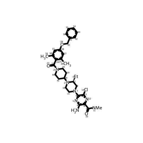 CC[C@H]1CN(c2nc(N)c(C(=O)NC)nc2Cl)CCN1C1CCN(C(=O)c2c(C)cc(OCc3ccccc3)cc2C)CC1